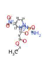 CCOC(=O)CC(OP(N)(N)=O)c1cc([N+](=O)[O-])ccn1